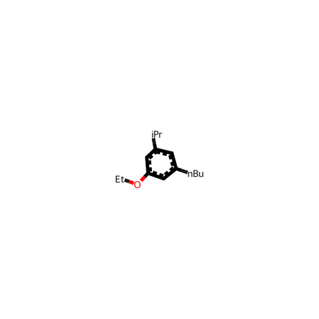 [CH2]C(C)c1cc(CCCC)cc(OCC)c1